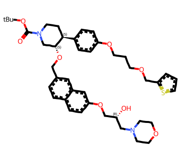 CC(C)(C)OC(=O)N1CC[C@@H](c2ccc(OCCCOCc3cccs3)cc2)[C@H](OCc2ccc3ccc(OC[C@H](O)CN4CCOCC4)cc3c2)C1